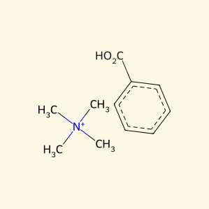 C[N+](C)(C)C.O=C(O)c1ccccc1